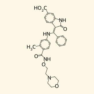 Cc1cc(NC(=C2C(=O)Nc3cc(C(=O)O)ccc32)c2ccccc2)ccc1C(=O)NOCCN1CCOCC1